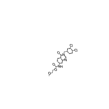 COCCOC(=O)Nc1ccc2c(=O)n(Cc3ccc(Cl)c(Cl)c3)cnc2c1